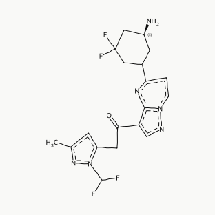 Cc1cc(CC(=O)c2cnn3ccc(C4C[C@H](N)CC(F)(F)C4)nc23)n(C(F)F)n1